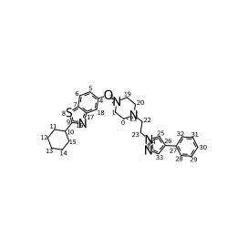 [CH]1CN(Oc2ccc3sc(C4CCCCC4)nc3c2)CCN1CCn1cc(-c2ccccc2)cn1